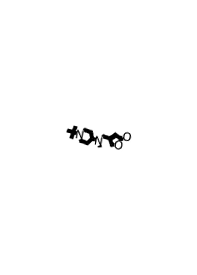 CN(CC1=CC(=O)OC1)C1CCN(C(C)(C)C)CC1